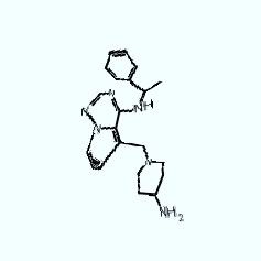 CC(Nc1ncnn2ccc(CN3CCC(N)CC3)c12)c1ccccc1